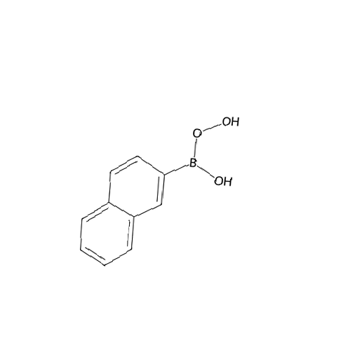 OOB(O)c1ccc2ccccc2c1